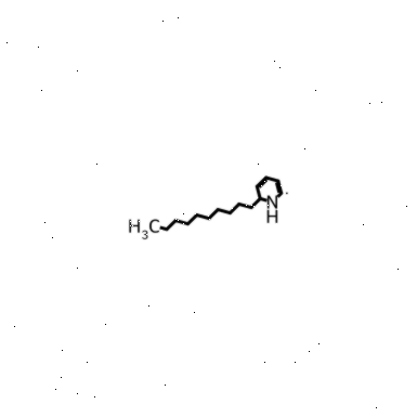 CCCCCCCCCCC1C=CC=[C]N1